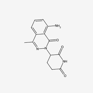 Cc1nn(C2CCC(=O)NC2=O)c(=O)c2c(N)cccc12